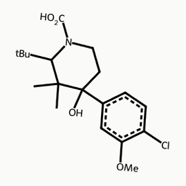 COc1cc(C2(O)CCN(C(=O)O)C(C(C)(C)C)C2(C)C)ccc1Cl